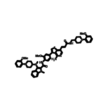 COc1cc(-c2csc3c(/C=C/C(=O)NCC4CCN(c5ccccc5OC)CC4)cnc(N)c23)ccc1NC(=O)c1c(N(C)C2CCN(c3ccccc3OC)CC2)c2ccccc2n1C